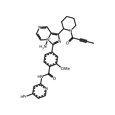 CC#CC(=O)N1CCCCC1C1=C2C=NC=C[N+]2(N)C(c2ccc(C(=O)Nc3cc(CCC)ccn3)c(OC)c2)=N1